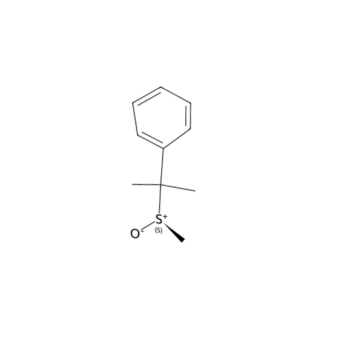 C[S@@+]([O-])C(C)(C)c1ccccc1